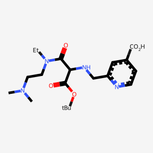 CCN(CCN(C)C)C(=O)C(NCc1cc(C(=O)O)ccn1)C(=O)OC(C)(C)C